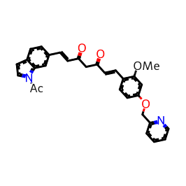 COc1cc(OCc2ccccn2)ccc1C=CC(=O)CC(=O)C=Cc1ccc2ccn(C(C)=O)c2c1